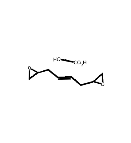 C(=CCC1CO1)CC1CO1.O=C(O)O